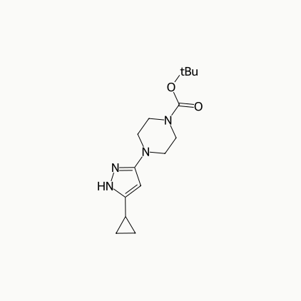 CC(C)(C)OC(=O)N1CCN(c2cc(C3CC3)[nH]n2)CC1